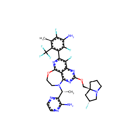 Cc1c(F)c(N)c(F)c(-c2nc3c4c(nc(OC[C@@]56CCCN5C[C@H](F)C6)nc4c2F)N([C@H](C)c2nccnc2N)CCO3)c1C(F)(F)F